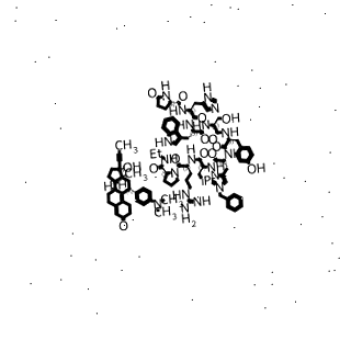 CC#C[C@]1(O)CC[C@H]2[C@@H]3CCC4=CC(=O)CCC4=C3[C@@H](c3ccc(N(C)C)cc3)C[C@@]21C.CCNC(=O)[C@@H]1CCCN1C(=O)[C@H](CCCNC(=N)N)NC(=O)[C@H](CC(C)C)NC(=O)[C@@H](Cc1cn(Cc2ccccc2)cn1)NC(=O)[C@H](Cc1ccc(O)cc1)NC(=O)[C@H](CO)NC(=O)[C@H](Cc1c[nH]c2ccccc12)NC(=O)[C@H](Cc1cnc[nH]1)NC(=O)[C@@H]1CCC(=O)N1